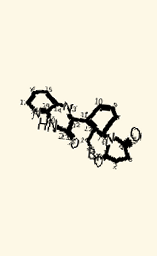 O=C1CCC(=O)N1c1cccc(-c2nc3cccnc3[nH]c2=O)c1CBr